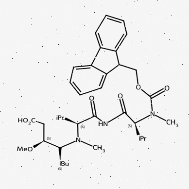 CC[C@H](C)C([C@H](CC(=O)O)OC)N(C)[C@H](C(=O)NC(=O)[C@H](C(C)C)N(C)C(=O)OCC1c2ccccc2-c2ccccc21)C(C)C